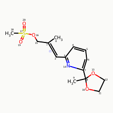 C/C(=C\c1cccc(C2(C)OCCO2)n1)COS(C)(=O)=O